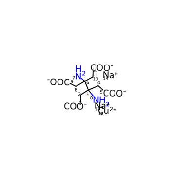 NC(CC(=O)[O-])(CC(=O)[O-])C(N)(CC(=O)[O-])CC(=O)[O-].[Cu+2].[Na+].[Na+]